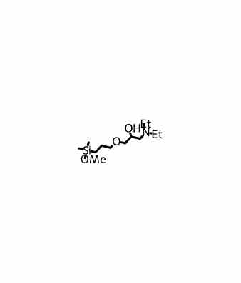 CCN(CC)CC(O)COCCC[Si](C)(C)OC